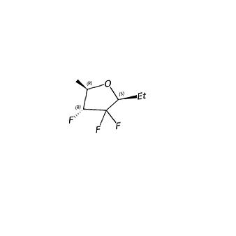 CC[C@@H]1O[C@H](C)[C@@H](F)C1(F)F